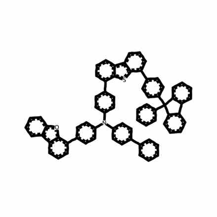 c1ccc(-c2ccc(N(c3ccc(-c4cccc5c4oc4ccccc45)cc3)c3ccc(-c4cccc5c4sc4c(-c6ccc(C7(c8ccccc8)c8ccccc8-c8ccccc87)cc6)cccc45)cc3)cc2)cc1